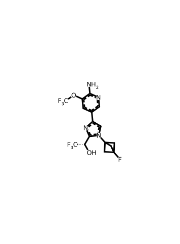 Nc1ncc(-c2cn(C34CC(F)(C3)C4)c([C@H](O)C(F)(F)F)n2)cc1OC(F)(F)F